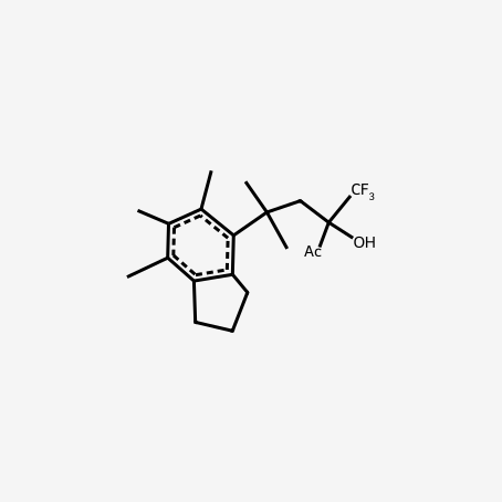 CC(=O)C(O)(CC(C)(C)c1c(C)c(C)c(C)c2c1CCC2)C(F)(F)F